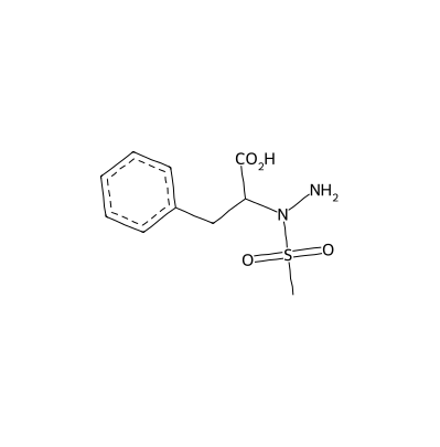 CS(=O)(=O)N(N)C(Cc1ccccc1)C(=O)O